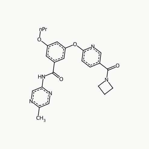 CCCOc1cc(Oc2ccc(C(=O)N3CCC3)cn2)cc(C(=O)Nc2cnc(C)cn2)c1